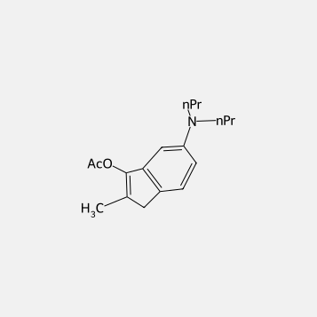 CCCN(CCC)c1ccc2c(c1)C(OC(C)=O)=C(C)C2